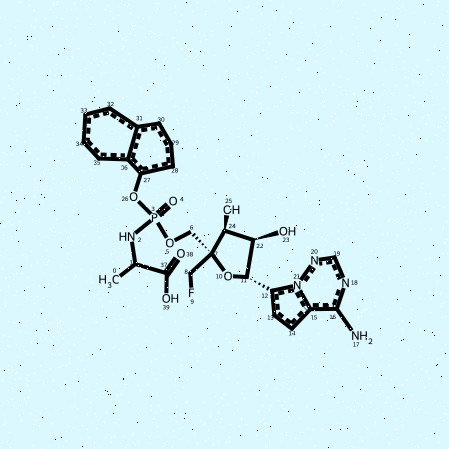 CC(NP(=O)(OC[C@@]1(CF)O[C@@H](c2ccc3c(N)ncnn23)[C@H](O)[C@@H]1O)Oc1cccc2ccccc12)C(=O)O